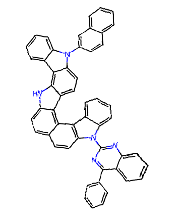 c1ccc(-c2nc(-n3c4ccccc4c4c5c(ccc6[nH]c7c(ccc8c7c7ccccc7n8-c7ccc8ccccc8c7)c65)ccc43)nc3ccccc23)cc1